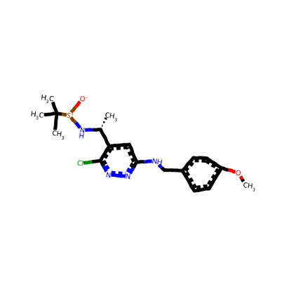 COc1ccc(CNc2cc([C@@H](C)N[S+]([O-])C(C)(C)C)c(Cl)nn2)cc1